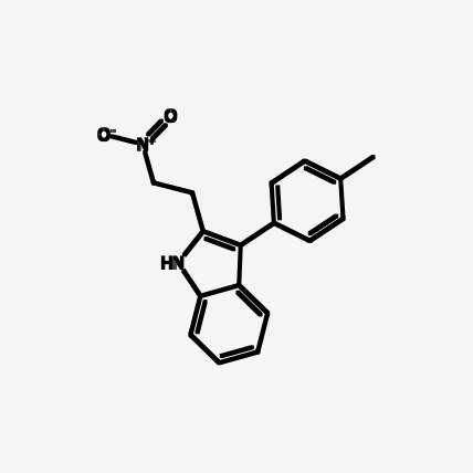 Cc1ccc(-c2c(CC[N+](=O)[O-])[nH]c3ccccc23)cc1